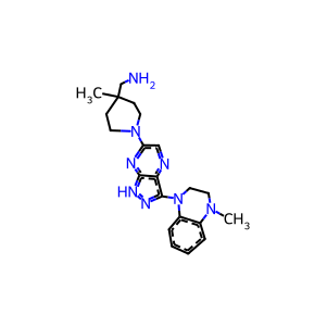 CN1CCN(c2n[nH]c3nc(N4CCC(C)(CN)CC4)cnc23)c2ccccc21